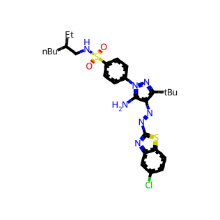 CCCCC(CC)CNS(=O)(=O)c1ccc(-n2nc(C(C)(C)C)c(N=Nc3nc4cc(Cl)ccc4s3)c2N)cc1